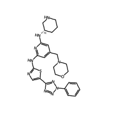 c1ccc(-n2nnc(-c3cnc(Nc4cc(CN5CCOCC5)cc(N[C@H]5CCCNC5)n4)s3)n2)cc1